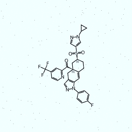 O=C(c1cc(C(F)(F)F)ccn1)[C@]12Cc3cnn(-c4ccc(F)cc4)c3C=C1CC[C@H](S(=O)(=O)c1cnn(C3CC3)c1)C2